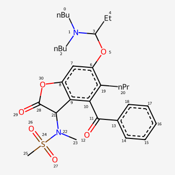 CCCCN(CCCC)C(CC)Oc1cc2c(c(C(=O)c3ccccc3)c1CCC)C(N(C)S(C)(=O)=O)C(=O)O2